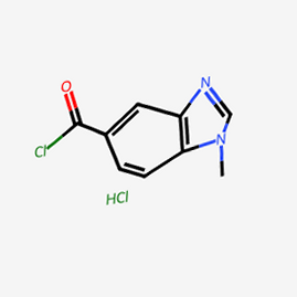 Cl.Cn1cnc2cc(C(=O)Cl)ccc21